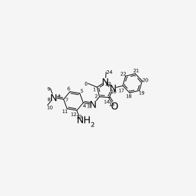 Cc1c(N=C2C=CC(=[N+](C)C)C=C2N)c(=O)n(-c2ccccc2)n1C